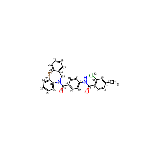 Cc1ccc(C(=O)Nc2ccc(C(=O)N3Cc4ccccc4Sc4ccccc43)cc2)c(Cl)c1